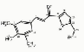 Cc1cc(C=CC(=O)c2ccc(CC(C)C)s2)cc(C)c1O